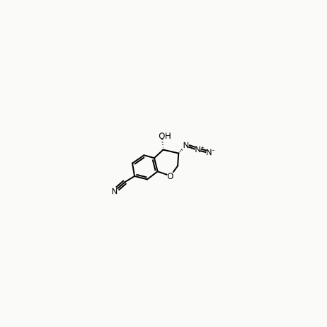 N#Cc1ccc2c(c1)OC[C@@H](N=[N+]=[N-])[C@H]2O